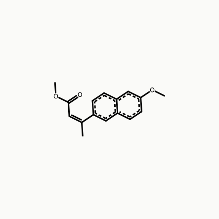 COC(=O)/C=C(/C)c1ccc2cc(OC)ccc2c1